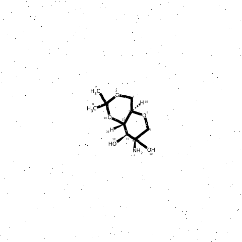 CC1(C)OC[C@H]2OC[C@](N)(O)[C@@H](O)[C@@H]2O1